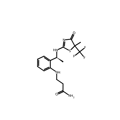 C[C@H](NC1=NC(=O)C(C)(C(F)(F)F)S1)c1ccccc1NCCC(N)=O